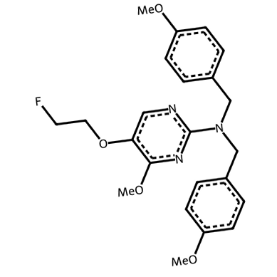 COc1ccc(CN(Cc2ccc(OC)cc2)c2ncc(OCCF)c(OC)n2)cc1